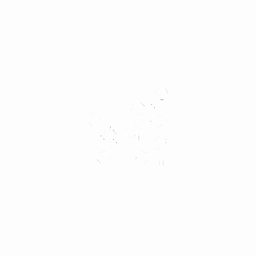 Cc1ccccc1-c1cccc(-c2ccc3c(c2)c2c(-c4cccc(-c5nc(-c6ccccc6)nc(-c6ccccc6)n5)c4)cccc2n3-c2ccccc2)c1C